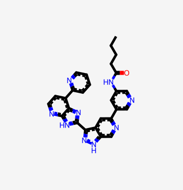 CCCCC(=O)Nc1cncc(-c2cc3c(-c4nc5c(-c6ccccn6)ccnc5[nH]4)n[nH]c3cn2)c1